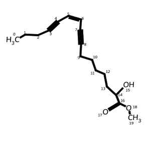 CCCC#C/C=C\C#CCCCCCC(O)C(=O)OC